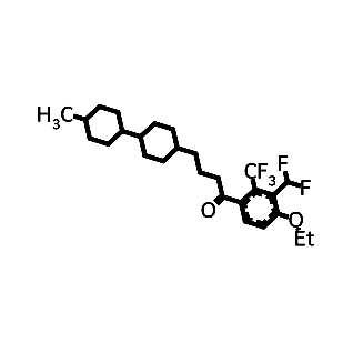 CCOc1ccc(C(=O)CCCC2CCC(C3CCC(C)CC3)CC2)c(C(F)(F)F)c1C(F)F